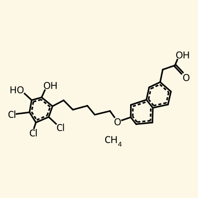 C.O=C(O)Cc1ccc2ccc(OCCCCCc3c(O)c(O)c(Cl)c(Cl)c3Cl)cc2c1